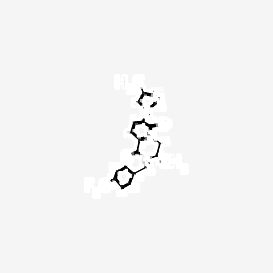 Cc1cn(-c2ccc3n(c2=O)C[C@@H](C)N(Cc2ccc(C(F)(F)F)cc2)C3=O)cn1